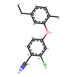 CCc1ccc(C)c(Oc2ccc(C#N)c(Br)c2)c1